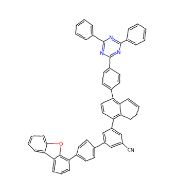 N#Cc1cc(-c2ccc(-c3cccc4c3oc3ccccc34)cc2)cc(-c2ccc(-c3ccc(-c4nc(-c5ccccc5)nc(-c5ccccc5)n4)cc3)c3c2CCC=C3)c1